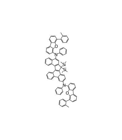 Cc1ccccc1-c1cccc2c1oc1c(N(c3ccccc3)c3ccc4c5c(c6ccccc6c4c3)-c3c(cc(N(c4ccccc4)c4cccc6c4oc4c(-c7ccccc7C)cccc46)c4ccccc34)C5([Si](C)(C)C)[Si](C)(C)C)cccc12